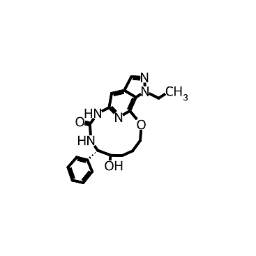 CCn1ncc2cc3nc(c21)OCCCC(O)[C@H](c1ccccc1)NC(=O)N3